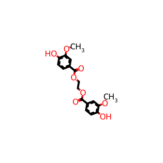 COc1cc(C(=O)OCCOC(=O)c2ccc(O)c(OC)c2)ccc1O